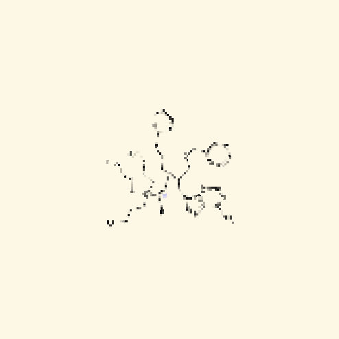 CCC[CH2][Sn]([CH2]CCC)([CH2]CCC)/[C](F)=C1\C(COCc2ccccc2)C(COCc2ccccc2)C1n1cnc2c(N)ncnc21